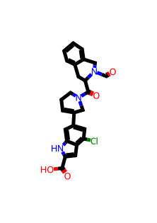 O=CN1Cc2ccccc2CC1C(=O)N1CCC=C(c2cc(Cl)c3cc(C(=O)O)[nH]c3c2)C1